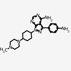 CN1CCN(C2CCC(n3nc(-c4ccc(N)cc4)c4c(N)ncnc43)CC2)CC1